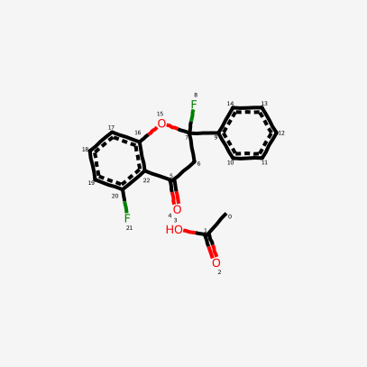 CC(=O)O.O=C1CC(F)(c2ccccc2)Oc2cccc(F)c21